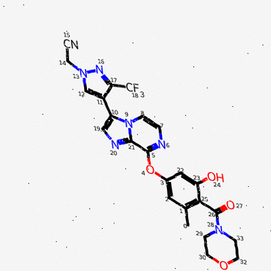 Cc1cc(Oc2nccn3c(-c4cn(CC#N)nc4C(F)(F)F)cnc23)cc(O)c1C(=O)N1CCOCC1